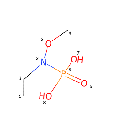 CCN(OC)P(=O)(O)O